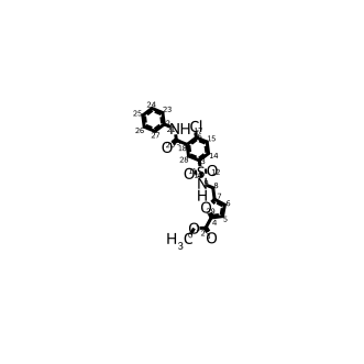 COC(=O)c1ccc(CNS(=O)(=O)c2ccc(Cl)c(C(=O)Nc3ccccc3)c2)o1